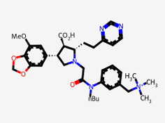 CCCCN(C(=O)CN1C[C@H](c2cc(OC)c3c(c2)OCO3)[C@@H](C(=O)O)[C@@H]1CCc1ccncn1)c1cccc(C[N+](C)(C)C)c1